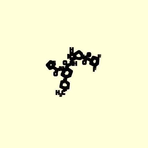 CN1CCN(c2ccc(C(=O)Nc3n[nH]c4c3CN(S(=O)(=O)c3cc(F)cc(F)c3)CC4)c(NC(=O)c3cccs3)c2)CC1